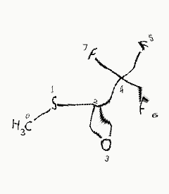 CSC(=O)C(F)(F)F